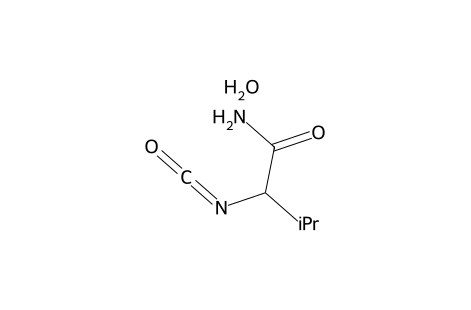 CC(C)C(N=C=O)C(N)=O.O